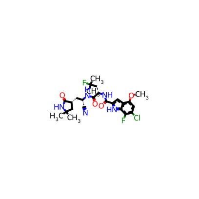 COc1cc(Cl)c(F)c2[nH]c(C(=O)N[C@@H](CC(C)(C)F)C(=O)N[C@H](C#N)C[C@@H]3CC(C)(C)NC3=O)cc12